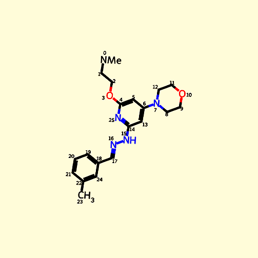 CNCCOc1cc(N2CCOCC2)cc(N/N=C/c2cccc(C)c2)n1